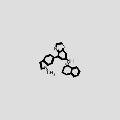 Cn1ccc2ccc(-c3cc(N[C@@H]4CCCc5ccccc54)cc4nccnc34)cc21